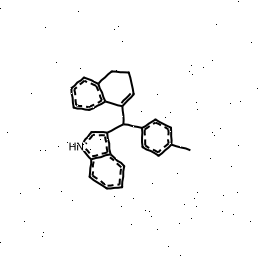 Cc1ccc(C(C2=CCCc3ccccc32)c2c[nH]c3ccccc23)cc1